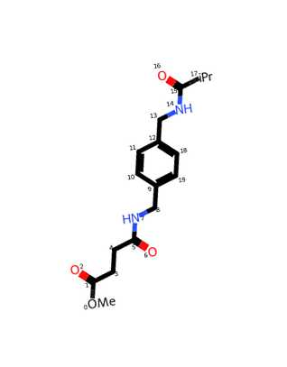 COC(=O)CCC(=O)NCc1ccc(CNC(=O)C(C)C)cc1